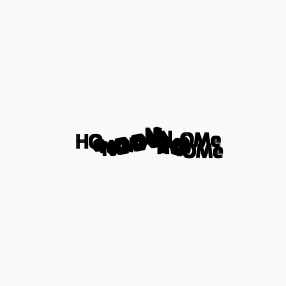 COc1ccc(-c2nc3c(C)nc(-c4ccc(N5CCC6(CC5)CN(CC(C)(C)O)C6)cc4)cc3n2C)cc1OC